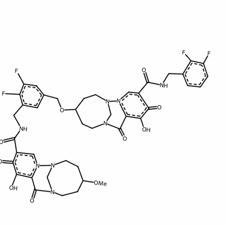 COC1CCN2CN(CC1)n1cc(C(=O)NCc3cc(COC4CCN5CN(CC4)n4cc(C(=O)NCc6cccc(F)c6F)c(=O)c(O)c4C5=O)cc(F)c3F)c(=O)c(O)c1C2=O